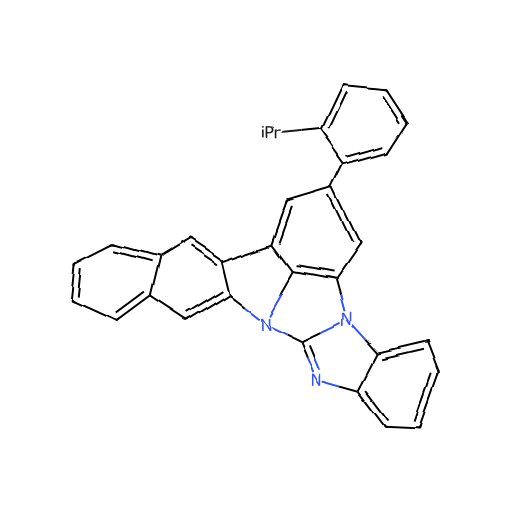 CC(C)c1ccccc1-c1cc2c3cc4ccccc4cc3n3c2c(c1)n1c2ccccc2nc13